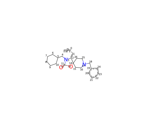 CCCC=C1N(CC2CCCCC2)C(=O)OC12CCN(Cc1ccccc1)CC2